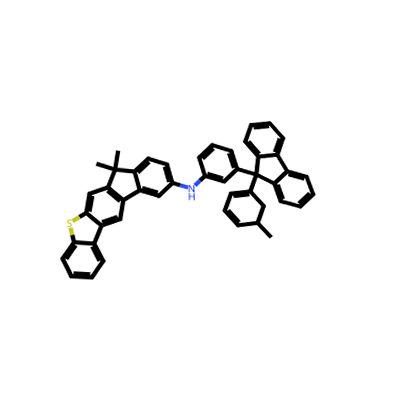 CC1C=CC=C(C2(c3cccc(Nc4ccc5c(c4)-c4cc6c(cc4C5(C)C)sc4ccccc46)c3)c3ccccc3-c3ccccc32)C1